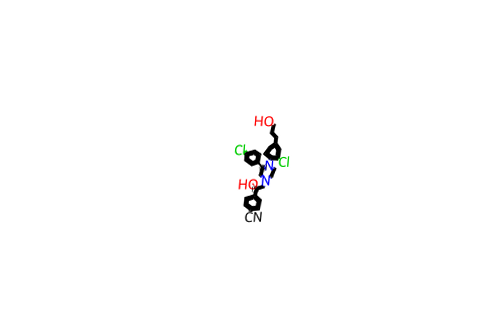 N#Cc1ccc([C@H](O)CN2CCN(c3ccc(CCCO)cc3Cl)[C@H](c3ccc(Cl)cc3)C2)cc1